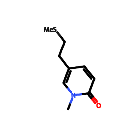 CSCCc1ccc(=O)n(C)c1